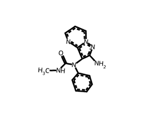 CNC(=O)N(c1ccccc1)c1c(N)nn2cccnc12